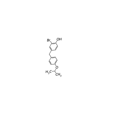 CC(C)Oc1ccc(Cc2ccc(O)c(Br)c2)cc1